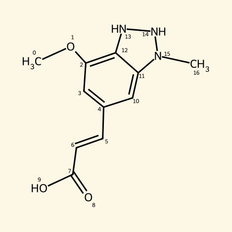 COc1cc(C=CC(=O)O)cc2c1NNN2C